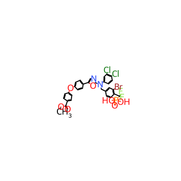 COC(=O)c1ccc(Oc2ccc(-c3cnc(N(Cc4ccc(C(F)(F)P(=O)(O)O)c(Br)c4)c4ccc(Cl)c(Cl)c4)o3)cc2)cc1